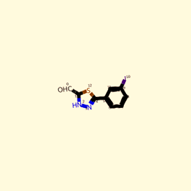 O=CC1NN=C(c2cccc(I)c2)S1